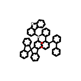 c1ccc(-c2ccccc2-c2ccccc2-c2ccccc2N(c2ccc3c(c2)C2(c4ccccc4-c4ccccc42)c2ccccc2-3)c2cccc3oc4ccccc4c23)cc1